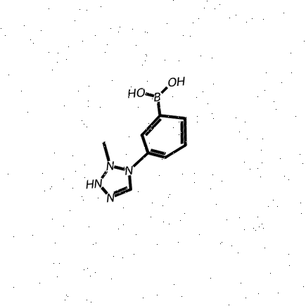 CN1NN=CN1c1cccc(B(O)O)c1